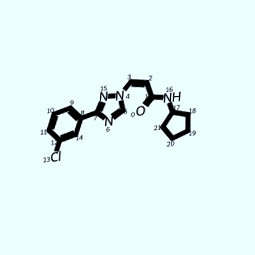 O=C(/C=C\n1cnc(-c2cccc(Cl)c2)n1)NC1CCCC1